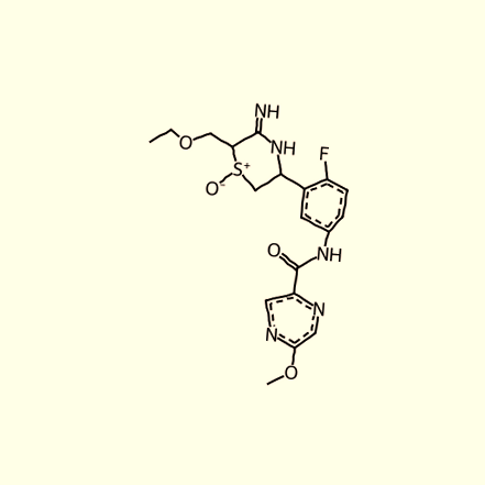 CCOCC1C(=N)NC(c2cc(NC(=O)c3cnc(OC)cn3)ccc2F)C[S+]1[O-]